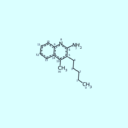 CCCCCc1c(N)nc2ccccc2c1C